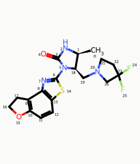 C[C@@H]1NC(=O)N(c2nc3c4c(ccc3s2)OCC4)[C@@H]1CN1CCC(F)(F)C1